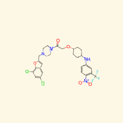 O=C(COC1CCC(Nc2ccc([N+](=O)[O-])c(C(F)(F)F)c2)CC1)N1CCN(Cc2cc3cc(Cl)cc(Cl)c3o2)CC1